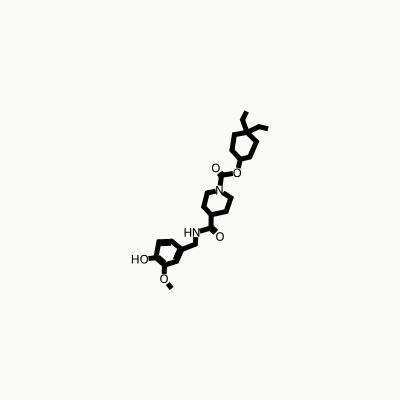 CCC1(CC)CCC(OC(=O)N2CCC(C(=O)NCc3ccc(O)c(OC)c3)CC2)CC1